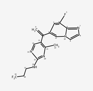 C=C(c1cc(F)c2nccn2c1)c1cnc(NCCC(F)(F)F)nc1C